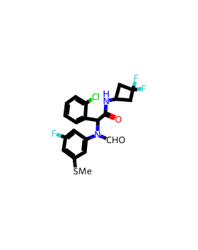 CSc1cc(F)cc(N(C=O)C(C(=O)NC2CC(F)(F)C2)c2ccccc2Cl)c1